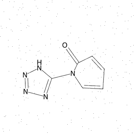 O=c1ccccn1-c1nnn[nH]1